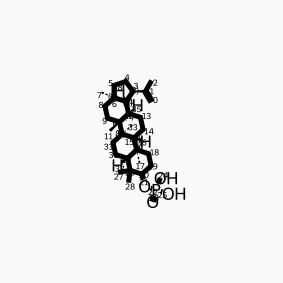 C=C(C)[C@@H]1CC[C@]2(C)CC[C@]3(C)[C@H](CC[C@@H]4[C@@]5(C)CCC(OP(=O)(O)O)C(C)(C)[C@@H]5CC[C@]43C)[C@@H]12